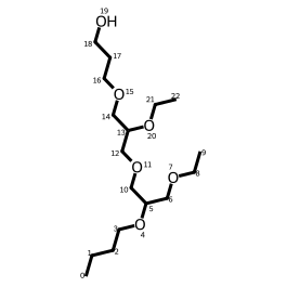 CCCCOC(COCC)COCC(COCCCO)OCC